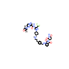 CN(CCCc1ccc(CNc2cccc3c2C(=O)N(C2CCC(=O)NC2=O)C3=O)cc1)C[C@H]1CC[C@H](n2cc(NC(=O)c3cnn4ccc(N5C[C@H]6C[C@@H]5CO6)nc34)c(C(F)F)n2)CC1